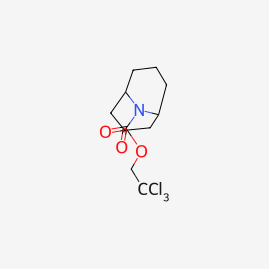 O=C1CC2CCCC(C1)N2C(=O)OCC(Cl)(Cl)Cl